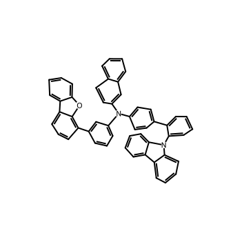 c1cc(-c2cccc3c2oc2ccccc23)cc(N(c2ccc(-c3ccccc3-n3c4ccccc4c4ccccc43)cc2)c2ccc3ccccc3c2)c1